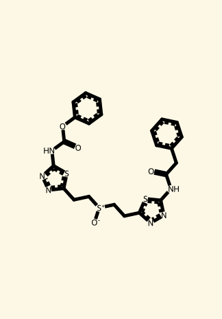 O=C(Cc1ccccc1)Nc1nnc(CC[S+]([O-])CCc2nnc(NC(=O)Oc3ccccc3)s2)s1